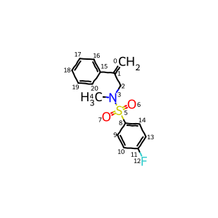 C=C(CN(C)S(=O)(=O)c1ccc(F)cc1)c1ccccc1